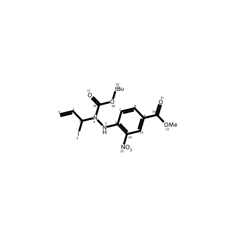 C=CC(I)N(Nc1ccc(C(=O)OC)cc1[N+](=O)[O-])C(=O)OC(C)(C)C